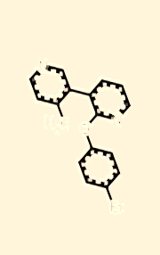 CCc1ccc(Oc2ncccc2-c2cnccc2C)cc1